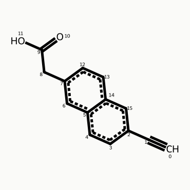 C#Cc1ccc2cc(CC(=O)O)ccc2c1